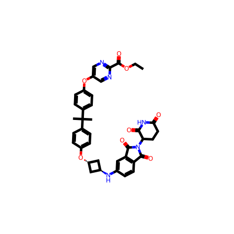 CCOC(=O)c1ncc(Oc2ccc(C(C)(C)c3ccc(O[C@H]4C[C@H](Nc5ccc6c(c5)C(=O)N(C5CCC(=O)NC5=O)C6=O)C4)cc3)cc2)cn1